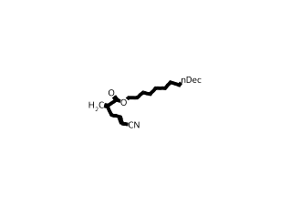 C=C(CC=CC#N)C(=O)OCCCCCCCCCCCCCCCCCC